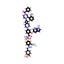 CC(C)c1ccccc1C1CN(C(=O)c2ccccc2)CCN1C1CC2(CCN(c3ccc(C(=O)NS(=O)(=O)c4ccc(NCC5CCC(C)(O)CC5)c([N+](=O)[O-])c4)c(Oc4cnc5[nH]ccc5c4)c3)CC2)C1